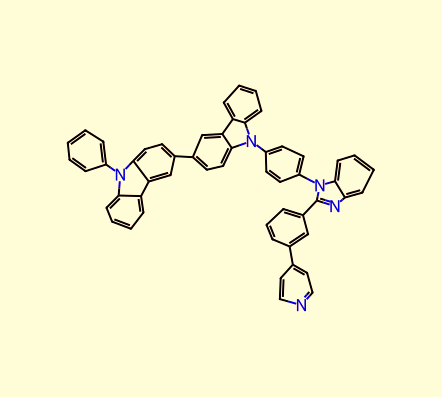 c1ccc(-n2c3ccccc3c3cc(-c4ccc5c(c4)c4ccccc4n5-c4ccc(-n5c(-c6cccc(-c7ccncc7)c6)nc6ccccc65)cc4)ccc32)cc1